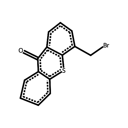 O=c1c2ccccc2sc2c(CBr)cccc12